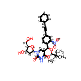 CC(C)(C)COC(c1ccc(C#Cc2ccccc2)cc1[N+](=O)[O-])c1cn([C@H]2C[C@H](O)[C@@H](CO)O2)c(=O)[nH]c1=O